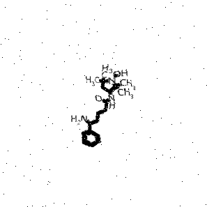 CC1(C)CC(NC(=O)CCCC(N)c2ccccc2)C(C)(C)N1O